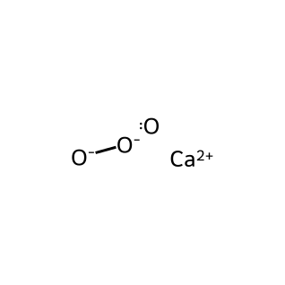 [Ca+2].[O-][O-].[O]